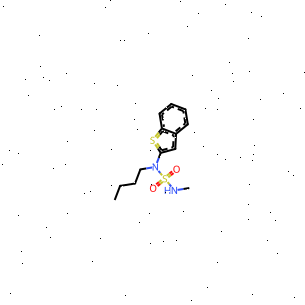 CCCCN(c1cc2ccccc2s1)S(=O)(=O)NC